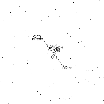 CCCCC/C=C\C/C=C\CCCCCCCC(=O)O[C@H](COC(=O)CCCCCCCCCCCCCCCCC)COP(=O)(O)O